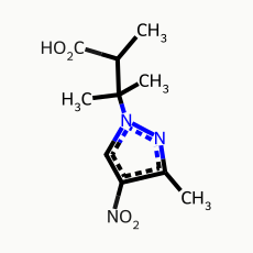 Cc1nn(C(C)(C)C(C)C(=O)O)cc1[N+](=O)[O-]